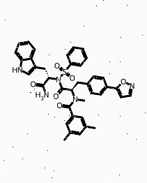 Cc1cc(C)cc(C(=O)N(C)[C@H](Cc2ccc(-c3ccno3)cc2)C(=O)N([C@@H](Cc2c[nH]c3ccccc23)C(N)=O)S(=O)(=O)c2ccccc2)c1